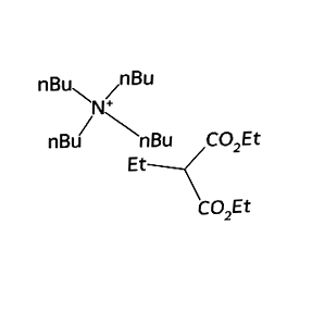 CCCC[N+](CCCC)(CCCC)CCCC.CCOC(=O)C(CC)C(=O)OCC